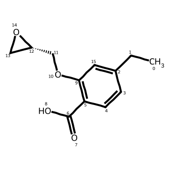 CCc1ccc(C(=O)O)c(OC[C@@H]2CO2)c1